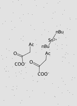 CC(=O)CC(=O)C(=O)[O-].CC(=O)CC(=O)C(=O)[O-].CCC[CH2][Sn+2][CH2]CCC